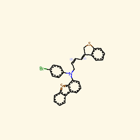 Brc1ccc(N(C/C=C\C=C2/CSc3ccccc32)c2cccc3c2sc2ccccc23)cc1